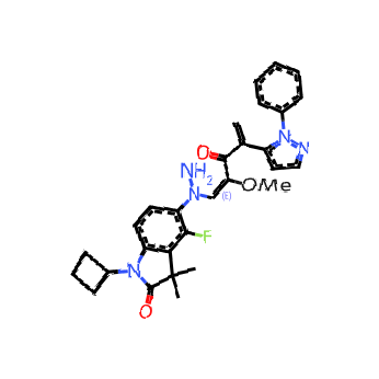 C=C(C(=O)/C(=C\N(N)c1ccc2c(c1F)C(C)(C)C(=O)N2C1CCC1)OC)c1ccnn1-c1ccccc1